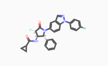 O=C(N[C@H]1[C@H](F)C(=O)N(c2ccc3c(cnn3-c3ccc(F)cc3)c2)[C@@H]1c1ccccc1)C1CC1